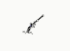 CN(C)c1cc2sc(/C=C(\C#N)C(=O)NCCOCCOCCCCCCCl)cc2s1